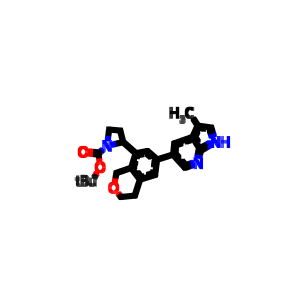 Cc1c[nH]c2ncc(-c3cc4c(c(C5CCN5C(=O)OC(C)(C)C)c3)COCC4)cc12